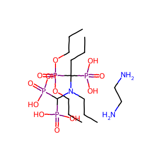 CCCOP(=O)(OCCC)C(CCC)(N(CCC)C(P(=O)(O)O)P(=O)(O)O)P(=O)(O)O.NCCN